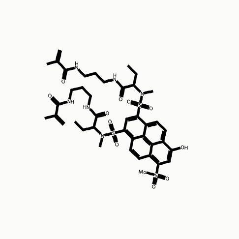 C=C(C)C(=O)NCCCNC(=O)C(CC)N(C)S(=O)(=O)c1cc(S(=O)(=O)N(C)C(CC)C(=O)NCCCNC(=O)C(=C)C)c2ccc3c([S](=O)(=O)[Mo])cc(O)c4ccc1c2c43